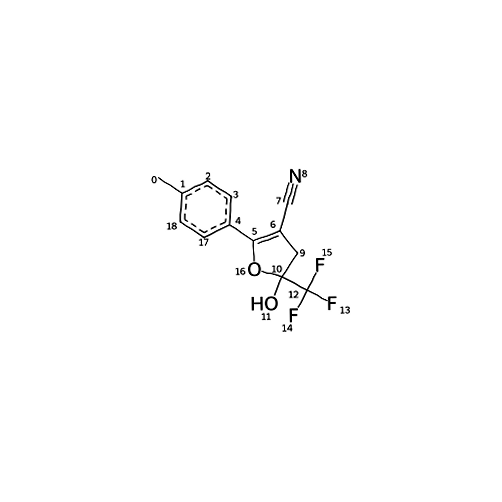 Cc1ccc(C2=C(C#N)CC(O)(C(F)(F)F)O2)cc1